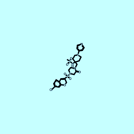 CS(=O)(=O)NC1(CN2CCN(S(=O)(=O)C3=Cc4ccc(Cl)cc4OC3)CC2=O)CCN(c2ccncc2)CC1